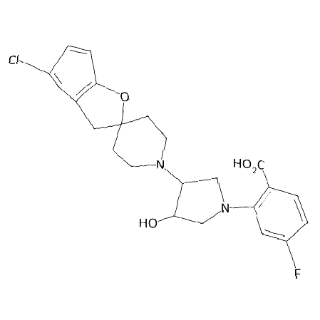 O=C(O)c1ccc(F)cc1N1CC(O)C(N2CCC3(CC2)Cc2cc(Cl)ccc2O3)C1